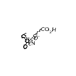 N#Cc1c(-c2ccccc2)cc(-c2cccs2)nc1SC[S+]([O-])CCCCCC(=O)O